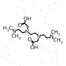 CN(C)CCN(CCN(CCN(C)C)CC(=O)O)CC(=O)O